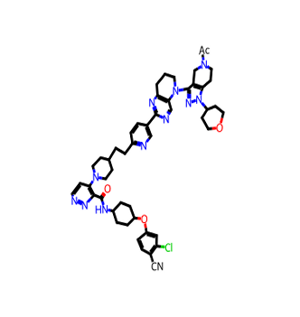 CC(=O)N1CCc2c(c(N3CCCc4nc(-c5ccc(CCC6CCN(c7ccnnc7C(=O)NC7CCC(Oc8ccc(C#N)c(Cl)c8)CC7)CC6)nc5)ncc43)nn2C2CCOCC2)C1